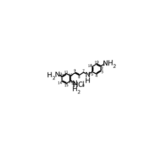 Cl.Nc1ccc(NCC=Cc2cc(N)ccc2N)cc1